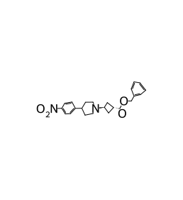 O=C(OCc1ccccc1)[C@H]1C[C@H](N2CCC(c3ccc([N+](=O)[O-])cc3)CC2)C1